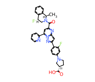 C[C@@H]1c2ccccc2[C@@H](F)CN1C(=O)c1cc(-c2ccccn2)n2nc(-c3ccc(N4CC[C@H](C(=O)O)C4)cc3F)cc2n1